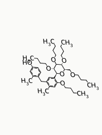 CCCCOC[C@H]1O[C@@H](c2cc(Cc3ccc(O)cc3C)c(C)cc2OCCCC)[C@H](OCCCC)[C@@H](OCCCC)[C@@H]1OCCCC